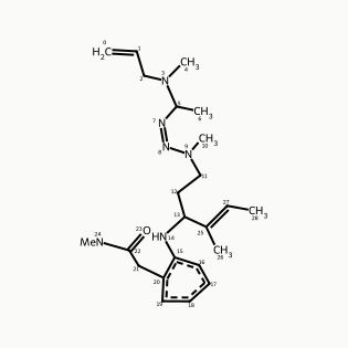 C=CCN(C)C(C)/N=N\N(C)CCC(Nc1ccccc1CC(=O)NC)/C(C)=C/C